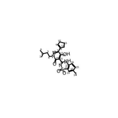 CC(C)CCn1nc(C2=CCCC2)c(O)c(C2=NS(=O)(=O)c3cc(I)ccc3N2)c1=O